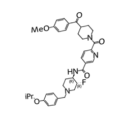 COc1ccc(C(=O)C2CCN(C(=O)c3ccc(C(=O)N[C@@H]4CCN(Cc5ccc(OC(C)C)cc5)C[C@H]4F)cn3)CC2)cc1